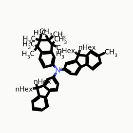 CCCCCCC1(CCCCCC)c2ccccc2-c2ccc(N(c3ccc4c(c3)C(CCCCCC)(CCCCCC)c3cc(C)ccc3-4)c3ccc4c(c3)C(C)(C)C(C)(C)C(C)(C)C4(C)C)cc21